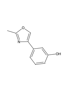 Cc1nc(-c2cc[c]c(O)c2)co1